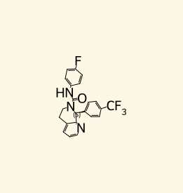 O=C(Nc1ccc(F)cc1)N1CCc2cccnc2[C@@H]1c1ccc(C(F)(F)F)cc1